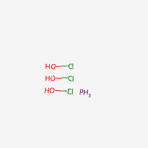 OCl.OCl.OCl.P